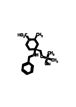 C[C@H]1C[C@](CO[Si](C)(C)C(C)(C)C)(NCc2ccccc2)CCN1C(=O)O